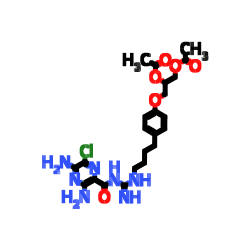 CC(=O)OCC(COc1ccc(CCCCNC(=N)NC(=O)c2nc(Cl)c(N)nc2N)cc1)OC(C)=O